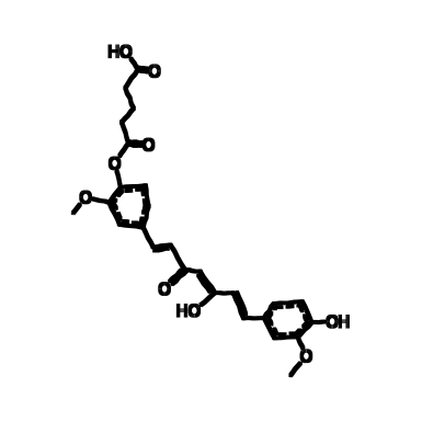 COc1cc(/C=C/C(O)=C/C(=O)/C=C/c2ccc(OC(=O)CCCC(=O)O)c(OC)c2)ccc1O